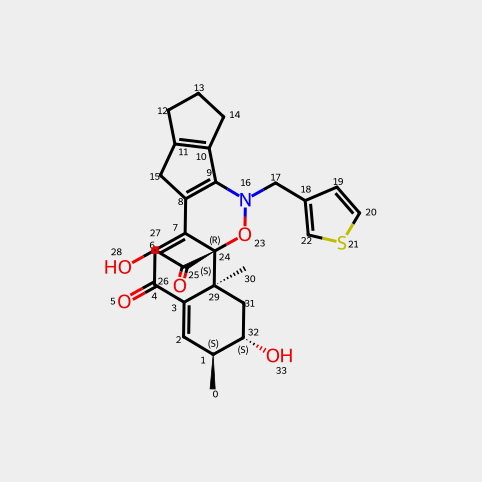 C[C@H]1C=C2C(=O)C=C3C4=C(C5=C(CCC5)C4)N(Cc4ccsc4)O[C@]3(C(=O)CO)[C@@]2(C)C[C@@H]1O